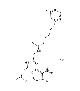 Cc1ccnc(NCCCCC(=O)NCC(=O)NC(CC(=O)[O-])c2ccc(Cl)c([N+](=O)[O-])c2)c1.[Na+]